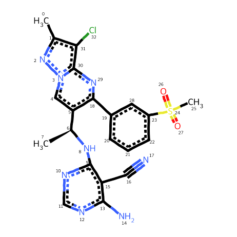 Cc1nn2cc([C@H](C)Nc3ncnc(N)c3C#N)c(-c3cccc(S(C)(=O)=O)c3)nc2c1Cl